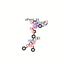 CCCCC[C@@H](C(=O)NCNC(=O)c1ccc(-c2ccc(C(=O)N[C@@H](CC(=O)OCc3ccccc3)C(=O)OCc3ccccc3)c(OCC)c2)o1)[C@@H](CC)N(C=O)OC(=O)c1ccc(CN2CCOCC2)cc1